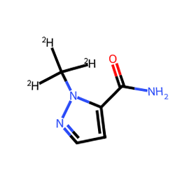 [2H]C([2H])([2H])n1nccc1C(N)=O